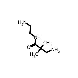 CC(C)(CN)C(=O)NCCN